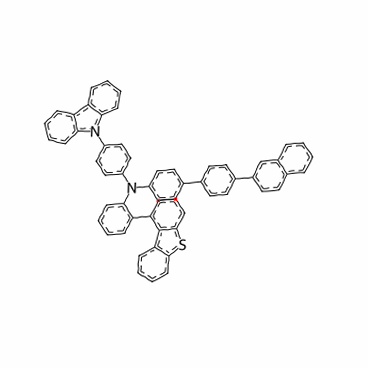 c1ccc(N(c2ccc(-c3ccc(-c4ccc5ccccc5c4)cc3)cc2)c2ccc(-n3c4ccccc4c4ccccc43)cc2)c(-c2cccc3sc4ccccc4c23)c1